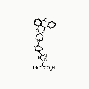 CC(C)(C)C(C(=O)O)n1nnc(-c2cnc(N3CCC4(C=C(c5ccccc5)c5c(Cl)cccc5O4)CC3)s2)n1